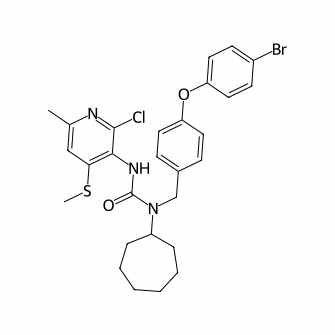 CSc1cc(C)nc(Cl)c1NC(=O)N(Cc1ccc(Oc2ccc(Br)cc2)cc1)C1CCCCCC1